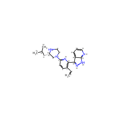 C=Cc1ccc(N2CCN[C@@H](CC(C)C)C2)nc1-c1n[nH]c2ncccc12